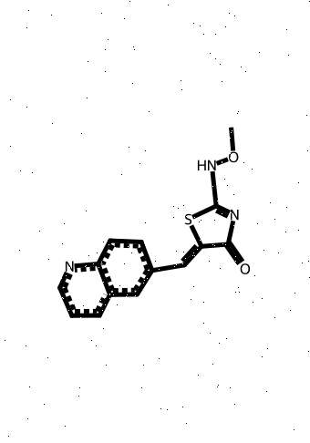 CONC1=NC(=O)/C(=C/c2ccc3ncccc3c2)S1